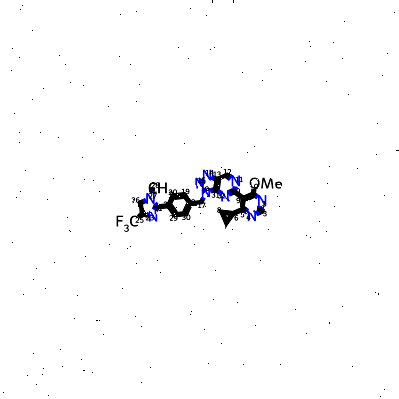 COc1ncnc(C2CC2)c1-c1ncc2nnn(Cc3ccc(C4=NC(C(F)(F)F)CN4C)cc3)c2n1